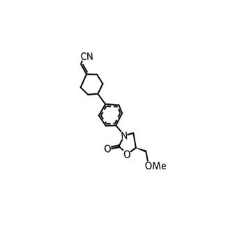 COC[C@@H]1CN(c2ccc(C3CCC(=CC#N)CC3)cc2)C(=O)O1